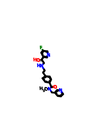 CN(Cc1cccnc1)C(=O)c1ccc(CCNC[C@H](O)c2cncc(F)c2)cc1